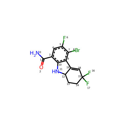 NC(=O)c1cc(F)c(Br)c2c1NC1CCC(F)(F)C=C21